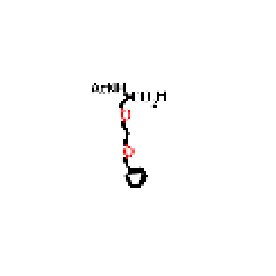 CC(=O)NC(COCCCOCc1ccccc1)C(=O)O